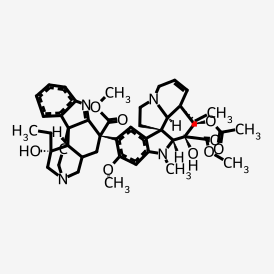 CC[C@]1(O)CN2CCC34C(=Nc5ccccc53)[C@@](C(=O)OC)(c3cc5c(cc3OC)N(C)[C@H]3[C@@](O)(C(=O)OC)[C@H](OC(C)=O)[C@]6(CC)C=CCN7CC[C@]53[C@@H]76)CC(C2)[C@@H]41